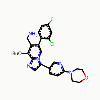 CC(C)COc1c(CN)c(-c2ccc(Cl)cc2Cl)cn2c(-c3ccc(N4CCOCC4)nc3)cnc12